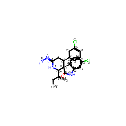 C=C(CC(C)C)[C@H]1N/C(=N\N)C[C@@H](C2C=CC=C(Cl)C2)[C@]12C(=O)Nc1cc(Cl)ccc12